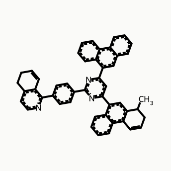 CC1CC=Cc2c1cc(-c1cc(-c3cc4ccccc4c4ccccc34)nc(-c3ccc(-c4nccc5c4C=CCC5)cc3)n1)c1ccccc21